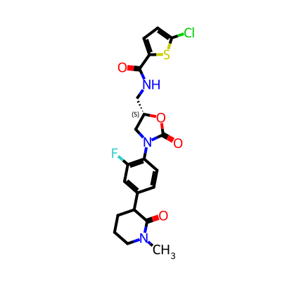 CN1CCCC(c2ccc(N3C[C@H](CNC(=O)c4ccc(Cl)s4)OC3=O)c(F)c2)C1=O